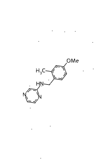 COc1ccc(CNc2cnccn2)c(C)c1